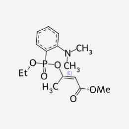 CCOP(=O)(O/C(C)=C/C(=O)OC)c1ccccc1N(C)C